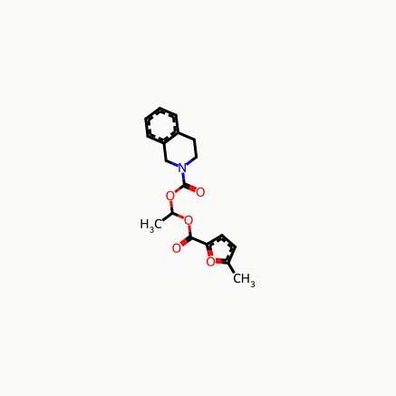 Cc1ccc(C(=O)OC(C)OC(=O)N2CCc3ccccc3C2)o1